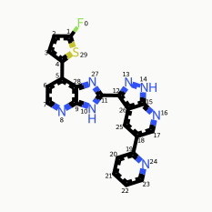 Fc1ccc(-c2ccnc3[nH]c(-c4n[nH]c5ncc(-c6ccccn6)cc45)nc23)s1